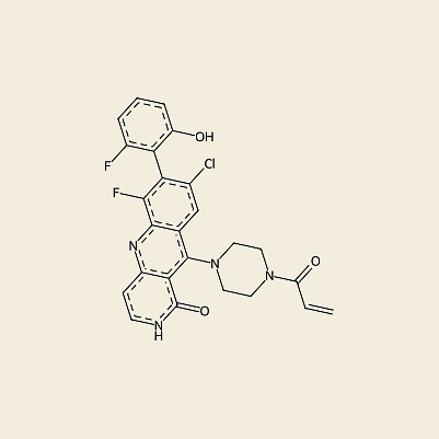 C=CC(=O)N1CCN(c2c3cc(Cl)c(-c4c(O)cccc4F)c(F)c3nc3cc[nH]c(=O)c23)CC1